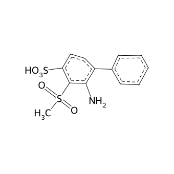 CS(=O)(=O)c1c(S(=O)(=O)O)ccc(-c2ccccc2)c1N